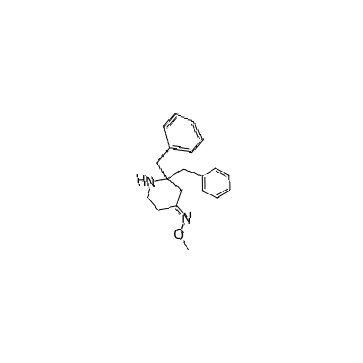 CON=C1CCNC(Cc2ccccc2)(Cc2ccccc2)C1